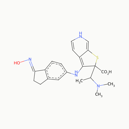 CC(N(C)C)C1(C(=O)O)SC2=CNC=CC2=C1Nc1ccc2c(c1)CC/C2=N\O